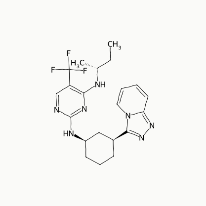 CC[C@@H](C)Nc1nc(N[C@@H]2CCC[C@H](c3nnc4ccccn34)C2)ncc1C(F)(F)F